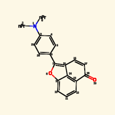 CCCN(CCC)c1ccc(-c2oc3cccc4c3c2C=CC4=O)cc1